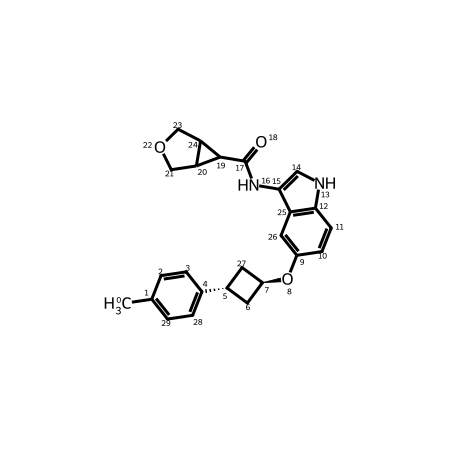 Cc1ccc([C@H]2C[C@H](Oc3ccc4[nH]cc(NC(=O)C5C6COCC65)c4c3)C2)cc1